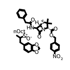 CC1(C)S[C@@H]2C(NC(=O)Cc3ccccc3)C(=O)N2[C@H]1C(=O)OCc1ccc([N+](=O)[O-])cc1.CCCCCCCC[S+]([O-])C(C)Cc1ccc2c(c1)OCO2